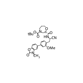 COc1cc(-c2ccc3oc(=O)n(C)c3c2)ccc1CC(C#N)NC(=O)[C@@H]1CN(C(=O)OC(C)(C)C)CCCO1